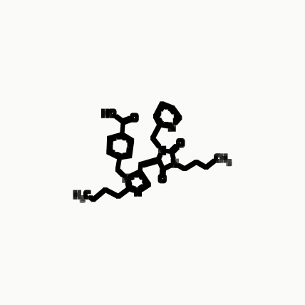 CCCCc1ncc(/C=C2\C(=O)N(CCCC)C(=O)N2Cc2ccccn2)n1Cc1ccc(C(=O)O)cc1